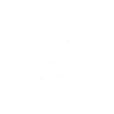 C=N/C=C(F)\C=C(/C)NC(=N)NC#N